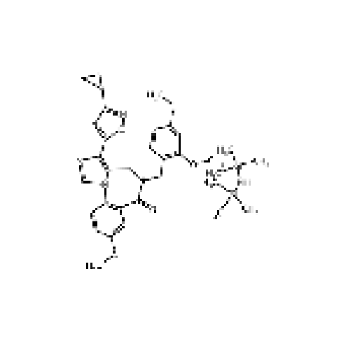 COc1ccc(CN2Cc3c(-c4nc(C5CC5)no4)ncn3-c3ccc(SC)cc3C2=O)c(OC)c1.C[Si](C)(C)N[Si](C)(C)C